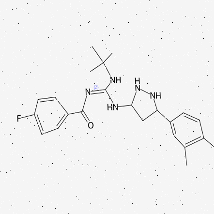 Cc1cc(C2CC(N/C(=N\C(=O)c3ccc(F)cc3)NC(C)(C)C)NN2)ccc1F